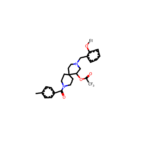 CCOc1ccccc1CN1CCC2(CCN(C(=O)c3ccc(C)cc3)CC2)C(OC(=O)C(F)(F)F)C1